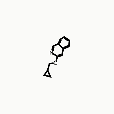 c1ccc2cc(OCC3CC3)ncc2c1